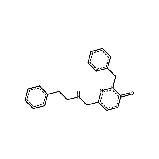 O=c1ccc(CNCCc2ccccc2)nn1Cc1ccccc1